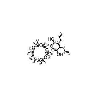 C=CC/C(C(=O)O)=C(\CC=C)C(=O)O.C[Si]1(C)O[Si](C)(C)O[Si](C)(C)O[Si](C)(C)O[Si](C)(C)O[Si](C)(C)O1